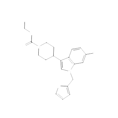 CCOC(=O)N1CCC(c2cn(Cc3ccco3)c3cc(F)ccc23)CC1